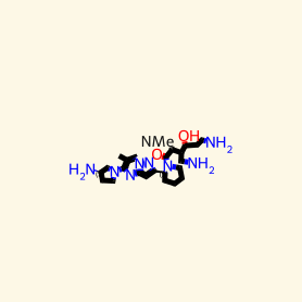 CNC(C(=O)N1CCCC[C@H]1c1cc2nc(N3CC[C@H](N)C3)c(C)cn2n1)C(CN)C(O)CCN